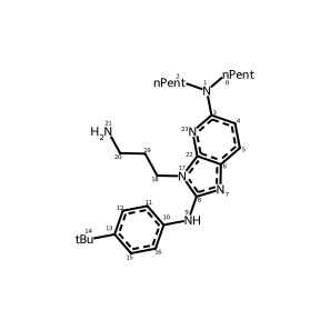 CCCCCN(CCCCC)c1ccc2nc(Nc3ccc(C(C)(C)C)cc3)n(CCCN)c2n1